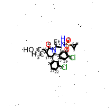 CCC(CNS(=O)(=O)C1CC1)N1C(=O)[C@@](C)(CC(=O)O)C[C@H](c2cccc(Cl)c2)[C@H]1c1ccc(Cl)cc1